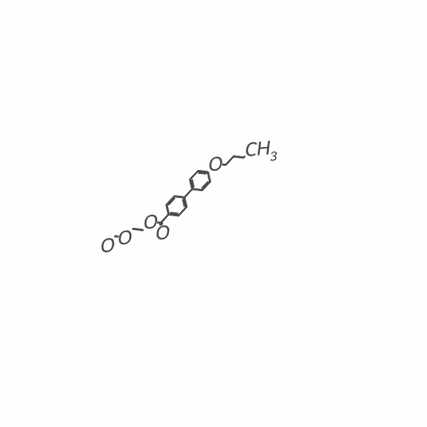 CCCCOc1ccc(-c2ccc(C(=O)OCCOC=O)cc2)cc1